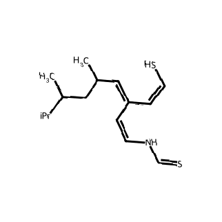 CC(/C=C(/C=C\S)\C=C/NC=S)CC(C)C(C)C